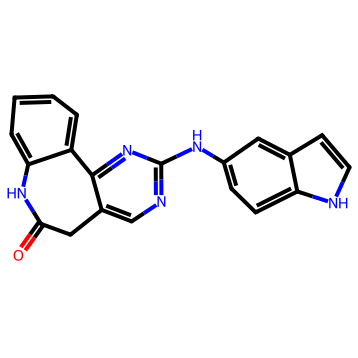 O=C1Cc2cnc(Nc3ccc4[nH]ccc4c3)nc2-c2ccccc2N1